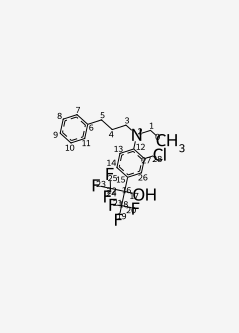 CCN(CCCc1ccccc1)c1ccc(C(O)(C(F)(F)F)C(F)(F)F)cc1Cl